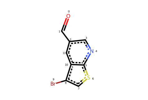 O=Cc1cnc2scc(Br)c2c1